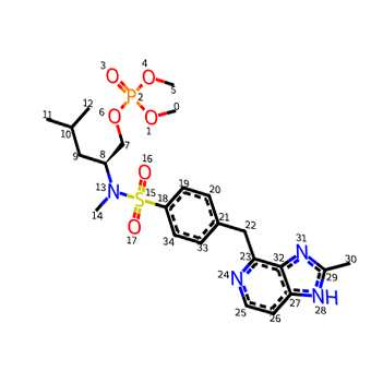 COP(=O)(OC)OC[C@H](CC(C)C)N(C)S(=O)(=O)c1ccc(Cc2nccc3[nH]c(C)nc23)cc1